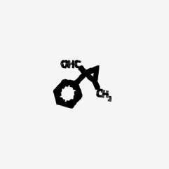 CC1CC1(C=O)c1ccccc1